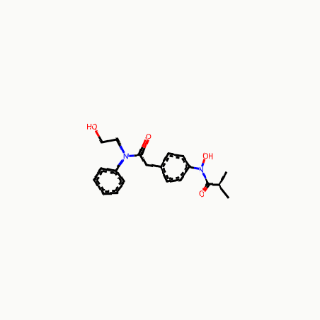 CC(C)C(=O)N(O)c1ccc(CC(=O)N(CCO)c2ccccc2)cc1